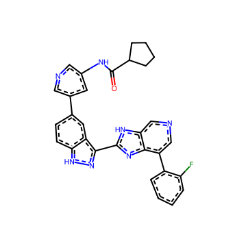 O=C(Nc1cncc(-c2ccc3[nH]nc(-c4nc5c(-c6ccccc6F)cncc5[nH]4)c3c2)c1)C1CCCC1